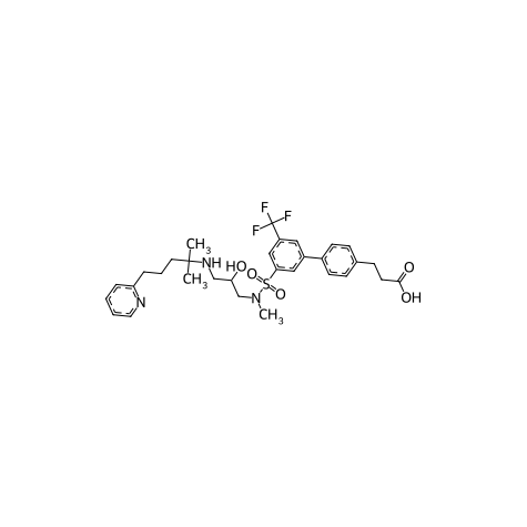 CN(CC(O)CNC(C)(C)CCCc1ccccn1)S(=O)(=O)c1cc(-c2ccc(CCC(=O)O)cc2)cc(C(F)(F)F)c1